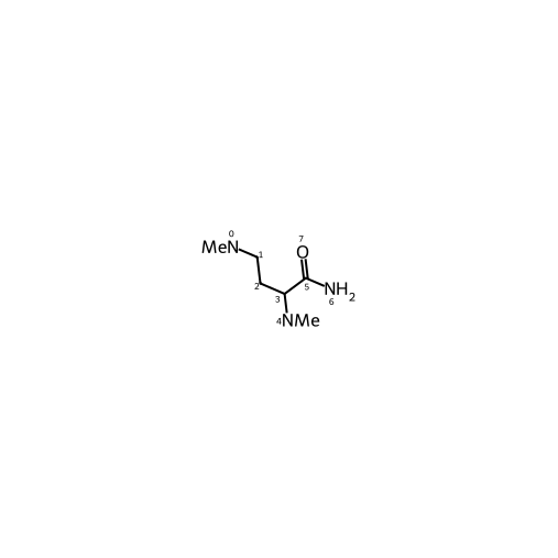 CNCCC(NC)C(N)=O